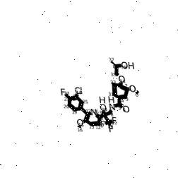 COc1cc(C(=O)NCC(O)(c2ccc(OC)c(-c3ccc(F)c(Cl)c3)n2)C(F)(F)F)ccc1OC[C@@H](C)O